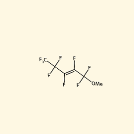 COC(F)(F)C(F)=C(F)C(F)(F)C(F)(F)F